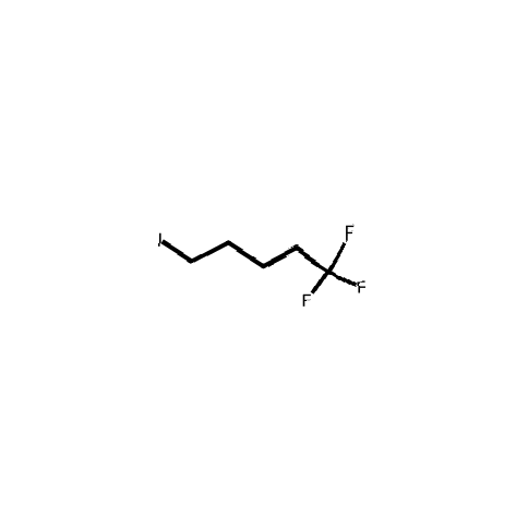 FC(F)(F)CCCCI